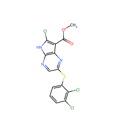 COC(=O)c1c(Cl)[nH]c2ncc(Sc3cccc(Cl)c3Cl)nc12